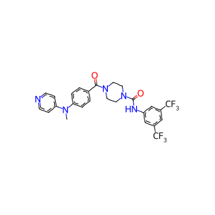 CN(c1ccncc1)c1ccc(C(=O)N2CCN(C(=O)Nc3cc(C(F)(F)F)cc(C(F)(F)F)c3)CC2)cc1